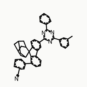 Cc1cccc(-c2nc(-c3ccccc3)nc(-c3ccc4c(c3)-c3cccc(-c5cccc(C#N)c5)c3C43C4CC5CC(C4)CC3C5)n2)c1